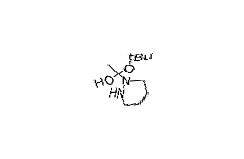 CC(C)(C)OC(C)(O)N1CCCCN1